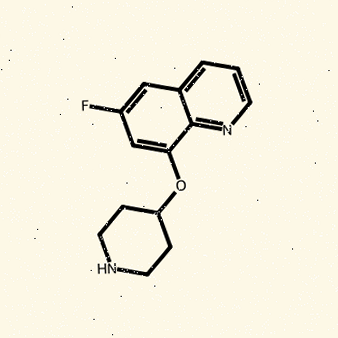 Fc1cc(OC2CCNCC2)c2ncccc2c1